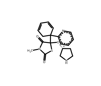 CN1C(=O)SC(O[C@@H]2CCNC2)(C2(c3ccccn3)C=CC=CC2)C1=O